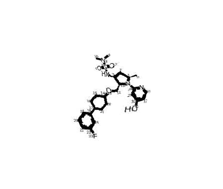 C[C@@H]1C[C@H](NS(=O)(=O)N(C)C)[C@H](COC2CCC(c3cccc(F)c3)CC2)N1c1cc(O)ccn1